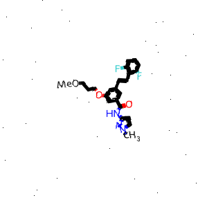 COCCCOc1cc(/C=C/c2c(F)cccc2F)cc(C(=O)Nc2ccn(C)n2)c1